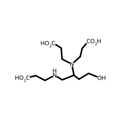 O=C(O)CCNCC(CCO)N(CCC(=O)O)CCC(=O)O